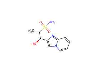 C[C@@H]([C@H](O)c1cn2ccccc2n1)S(N)(=O)=O